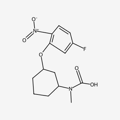 CN(C(=O)O)C1CCCC(Oc2cc(F)ccc2[N+](=O)[O-])C1